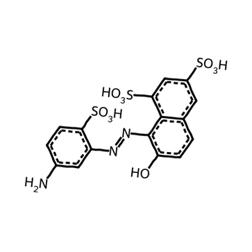 Nc1ccc(S(=O)(=O)O)c(N=Nc2c(O)ccc3cc(S(=O)(=O)O)cc(S(=O)(=O)O)c23)c1